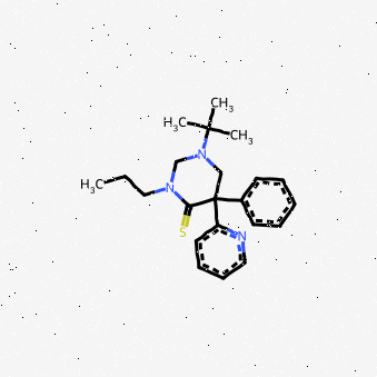 CCCN1CN(C(C)(C)C)CC(c2ccccc2)(c2ccccn2)C1=S